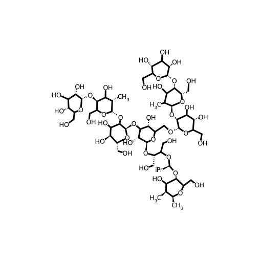 CC(C)[C@@H](OC(CO)[C@H](CO)O[C@@H]1OC(CO[C@H]2OC(CO)[C@@H](O)C(O)[C@H]2O[C@@H]2O[C@@H](CO)[C@@H](O[C@@H]3OC(CO)[C@H](O)C(O)[C@@H]3O)C(O)C2C)[C@@H](O)C(O[C@H]2O[C@H](CO)[C@@H](O)C(O)C2O[C@@H]2OC(CO)[C@@H](O[C@@H]3OC(CO)[C@H](O)C(O)[C@@H]3O)C(O)[C@@H]2C)[C@H]1O)O[C@@H]1C(CO)O[C@@H](C)[C@@H](C)C1O